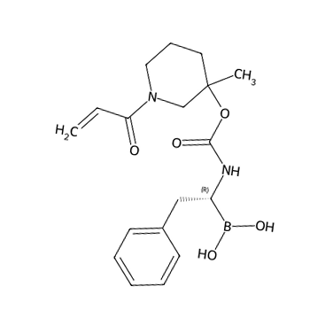 C=CC(=O)N1CCCC(C)(OC(=O)N[C@@H](Cc2ccccc2)B(O)O)C1